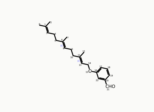 CC(C)=CCC/C(C)=C/CC/C(C)=C/COc1cccc(C=O)c1